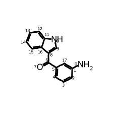 Nc1cccc(C(=O)c2c[nH]c3ccccc23)c1